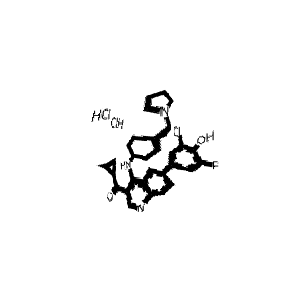 Cl.Cl.O=C(c1cnc2ccc(-c3cc(F)c(O)c(Cl)c3)cc2c1NC1CCC(CN2CCCC2)CC1)C1CC1